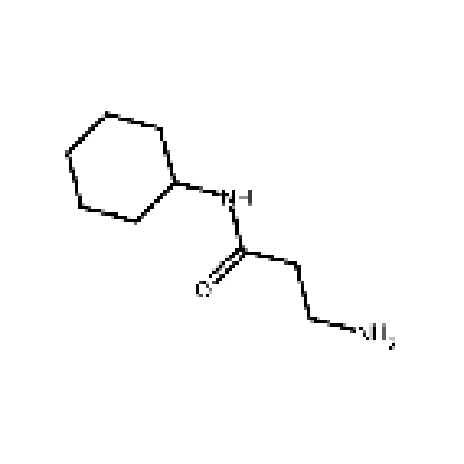 NCCC(=O)NC1CCCCC1